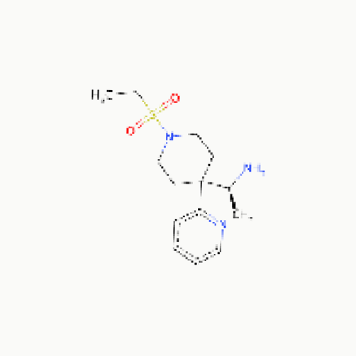 CCS(=O)(=O)N1CCC(c2ccccn2)([C@H](C)N)CC1